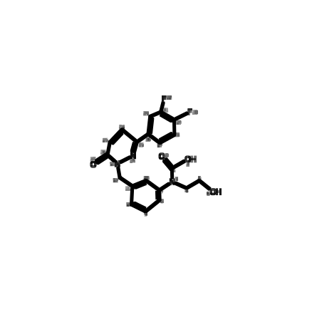 O=C(O)N(CCO)c1cccc(Cn2nc(-c3ccc(F)c(F)c3)ccc2=O)c1